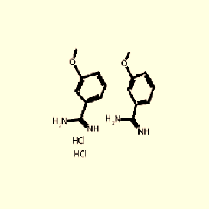 COc1cccc(C(=N)N)c1.COc1cccc(C(=N)N)c1.Cl.Cl